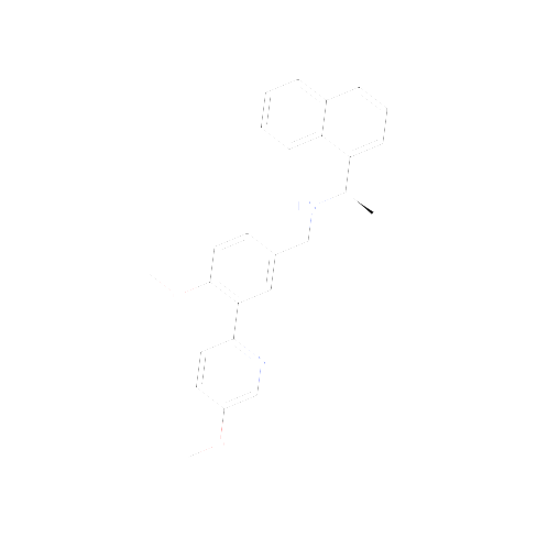 COc1ccc(-c2cc(CN[C@H](C)c3cccc4ccccc34)ccc2OC)nc1